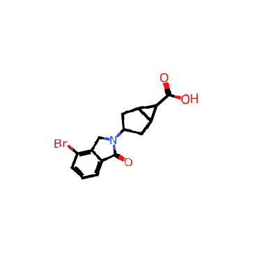 O=C(O)C1C2CC(N3Cc4c(Br)cccc4C3=O)CC21